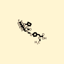 CCOC(Cc1ccc(OCCN(CC(F)(F)C(F)(F)C(F)(F)C(F)(F)C(F)(F)F)C(=O)Oc2ccccc2Cl)cc1)C(=O)O